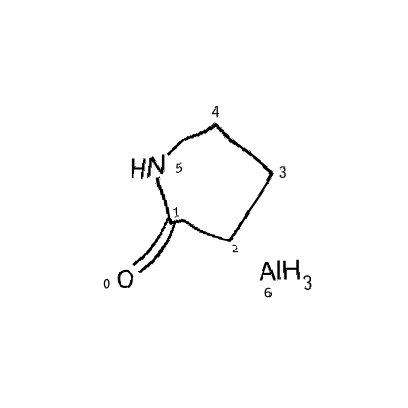 O=C1CCCN1.[AlH3]